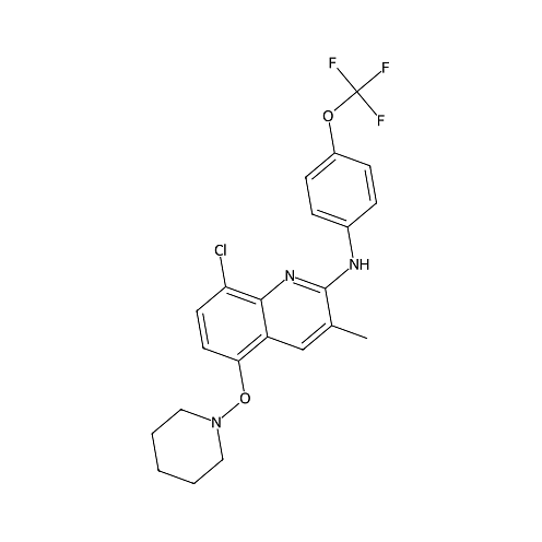 Cc1cc2c(ON3CCCCC3)ccc(Cl)c2nc1Nc1ccc(OC(F)(F)F)cc1